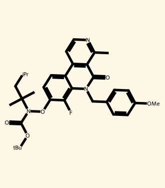 COc1ccc(Cn2c(=O)c3c(C)nccc3c3ccc(ON(C(=O)OC(C)(C)C)C(C)(C)CC(C)C)c(F)c32)cc1